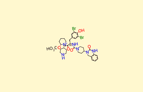 O=C(O)OC1CCCC[N@+]1(C(=O)[C@@H](Cc1cc(Br)c(O)c(Br)c1)NC(=O)N1CCC(N2Cc3ccccc3NC2=O)CC1)C1CCNCC1